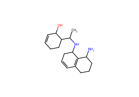 CC(NC1CC=CC2=C1C(N)CCC2)C1CCC=CC1O